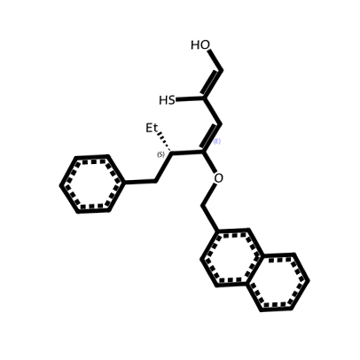 CC[C@@H](Cc1ccccc1)/C(=C\C(S)=CO)OCc1ccc2ccccc2c1